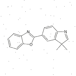 CC1(C)C=Nc2ccc(-c3nc4ccccc4o3)cc21